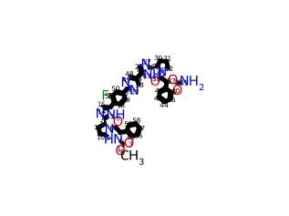 COC(=O)N[C@@H](C(=O)N1CCC[C@H]1c1ncc(-c2ccc(-c3ncc(-c4cnc([C@@H]5CCCN5C(=O)[C@H](OC(N)=O)c5ccccc5)[nH]4)cn3)cc2F)[nH]1)c1ccccc1